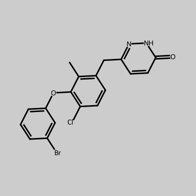 Cc1c(Cc2ccc(=O)[nH]n2)ccc(Cl)c1Oc1cccc(Br)c1